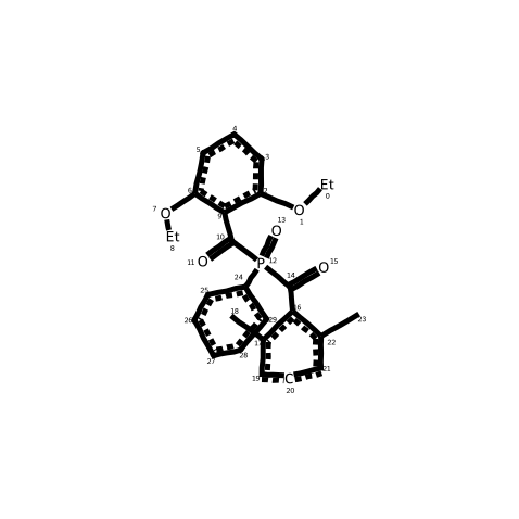 CCOc1cccc(OCC)c1C(=O)P(=O)(C(=O)c1c(C)cccc1C)c1ccccc1